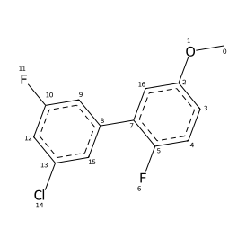 COc1ccc(F)c(-c2cc(F)cc(Cl)c2)c1